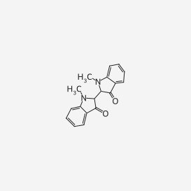 CN1c2ccccc2C(=O)C1C1C(=O)c2ccccc2N1C